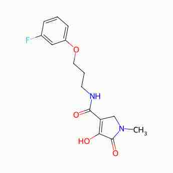 CN1CC(C(=O)NCCCOc2cccc(F)c2)=C(O)C1=O